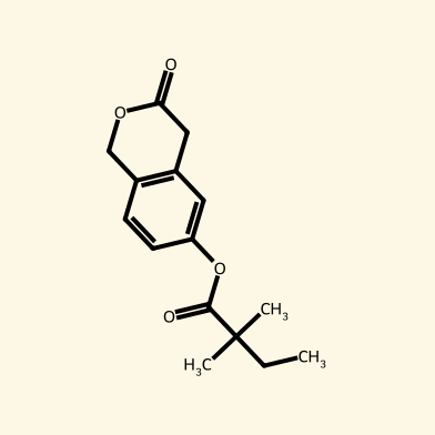 CCC(C)(C)C(=O)Oc1ccc2c(c1)CC(=O)OC2